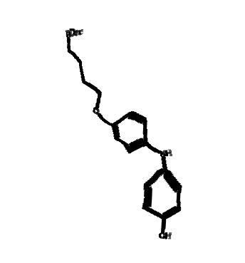 CCCCCCCCCCCCCCOc1ccc(Nc2ccc(O)cc2)cc1